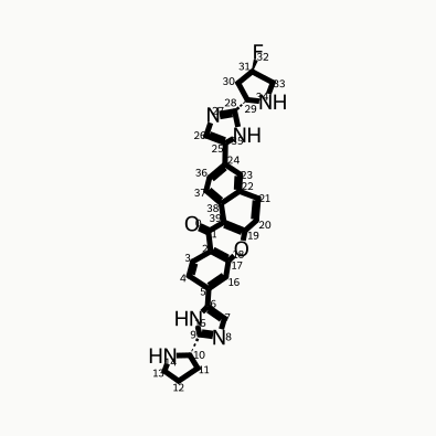 O=c1c2ccc(-c3cnc([C@@H]4CCCN4)[nH]3)cc2oc2ccc3cc(-c4cnc([C@@H]5C[C@@H](F)CN5)[nH]4)ccc3c12